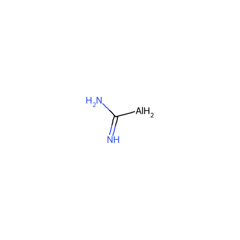 N=[C](N)[AlH2]